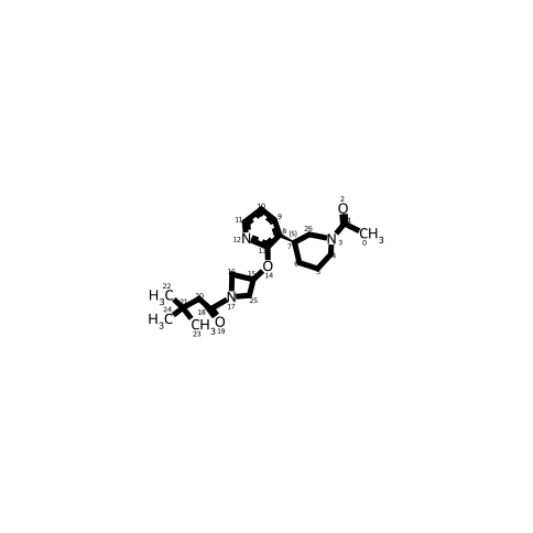 CC(=O)N1CCC[C@@H](c2cccnc2OC2CN(C(=O)CC(C)(C)C)C2)C1